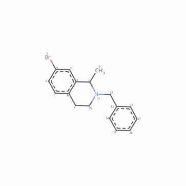 CC1c2cc(Br)ccc2CCN1Cc1ccccc1